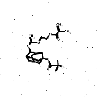 C=C(C)C(=O)OCCOC(C)OC1C2CC3CC1CC(OC(=O)C(C)(F)F)(C3)C2